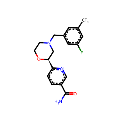 NC(=O)c1ccc([C@@H]2CN(Cc3cc(F)cc(C(F)(F)F)c3)CCO2)nc1